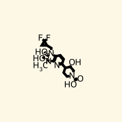 CN1c2nc(C3CCN(C(=O)O)CC3O)ccc2N(CC2CC2(F)F)S1(O)O